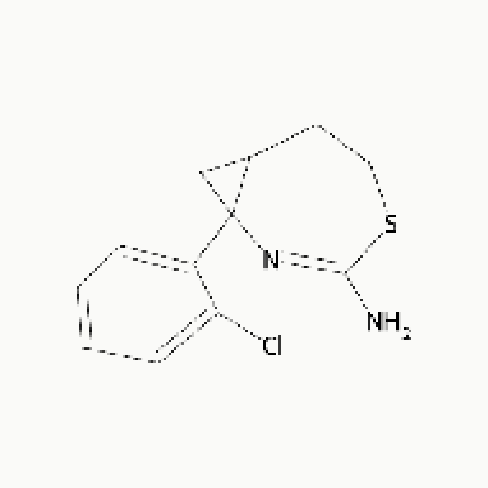 NC1=NC2(c3ccccc3Cl)CC2CCS1